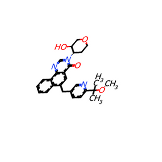 COC(C)(C)c1ccc(Cc2cc3c(=O)n([C@H]4CCOC[C@@H]4O)cnc3c3ccccc23)cn1